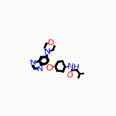 CC(C)CC(=O)N[C@H]1CC[C@@H](Oc2cc(N3CCOCC3)cc3nccnc23)CC1